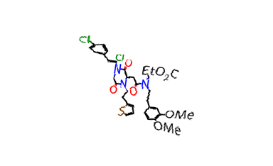 CCOC(=O)CN(CCc1ccc(OC)c(OC)c1)C(=O)CC1C(=O)N(C(Cl)Cc2ccc(Cl)cc2)CC(=O)N1CCc1cccs1